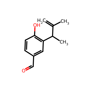 C=C(C)C(C)c1cc(C=O)ccc1O